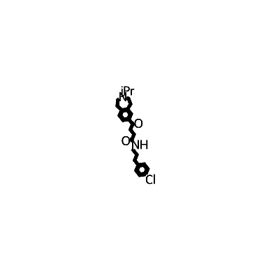 CC(C)N1CCc2ccc(C(=O)CCC(=O)NCCCc3ccc(Cl)cc3)cc2CC1